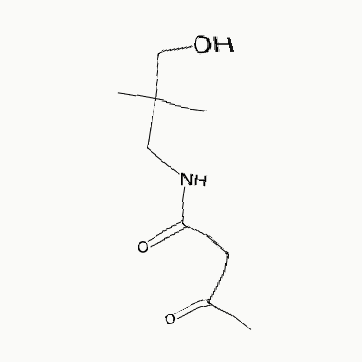 CC(=O)CC(=O)NCC(C)(C)CO